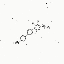 CCCOc1cc2c(c(F)c1F)-c1ccc(-c3ccc(CCC)cc3)cc1C2